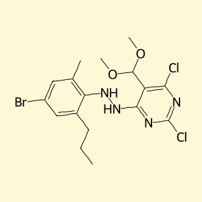 CCCc1cc(Br)cc(C)c1NNc1nc(Cl)nc(Cl)c1C(OC)OC